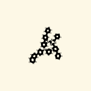 c1ccc(-c2ccc(-c3nc(-c4ccccc4)nc(-n4c5cc(-c6ccccc6)ccc5c5ccc(N(c6ccccc6)c6ccc(-c7ccc8ccccc8c7)cc6)cc54)n3)cc2)cc1